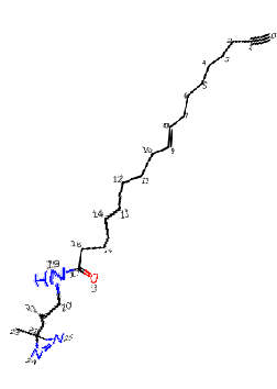 C#CCCCCCCC=CCCCCCCCC(=O)NCCC1(C)N=N1